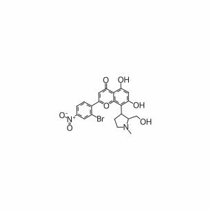 CN1CCC(c2c(O)cc(O)c3c(=O)cc(-c4ccc([N+](=O)[O-])cc4Br)oc23)C1CO